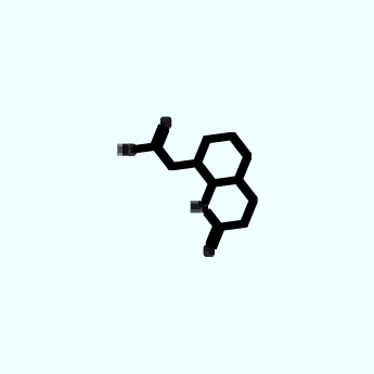 O=C(O)CC1CCCC2CCC(=O)NC21